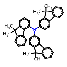 CC1(C)c2ccccc2-c2cc(N(c3ccc4c(c3)C(C)(C)c3ccccc3-4)c3cccc4c3-c3ccccc3C4(C)C)ccc21